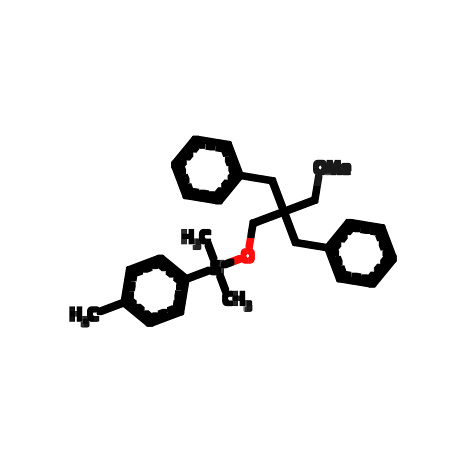 COCC(CO[Si](C)(C)c1ccc(C)cc1)(Cc1ccccc1)Cc1ccccc1